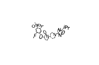 CC(C)c1nc(N2CCC(N3CCC(Oc4cc(F)c(S(C)(=O)=O)cc4F)C3=O)CC2)no1